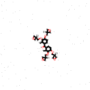 CCC1(COc2ccc(C(=O)c3ccc(OCC4(CC)COC4)c(OCC4(CC)COC4)c3C)c(C)c2OCC2(CC)COC2)COC1